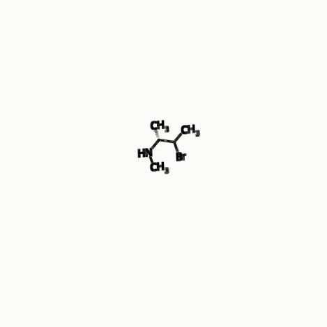 CN[C@H](C)C(C)Br